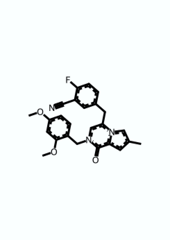 COc1ccc(Cn2cc(Cc3ccc(F)c(C#N)c3)n3cc(C)cc3c2=O)c(OC)c1